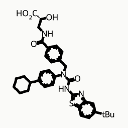 CC(C)(C)c1ccc2sc(NC(=O)N(Cc3ccc(C(=O)NC[C@@H](O)C(=O)O)cc3)c3ccc(C4CCCCC4)cc3)nc2c1